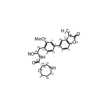 COc1cc(-c2ccc3oc(=O)n(C)c3c2)ccc1CC(C#N)NC(=O)[C@@H]1CNCCCO1